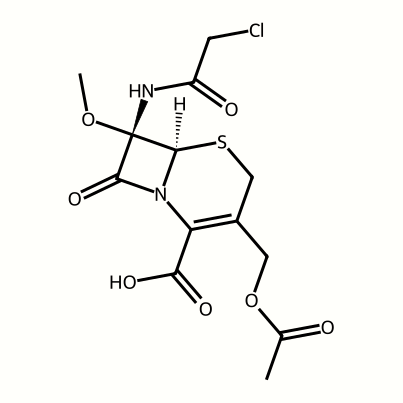 CO[C@@]1(NC(=O)CCl)C(=O)N2C(C(=O)O)=C(COC(C)=O)CS[C@@H]21